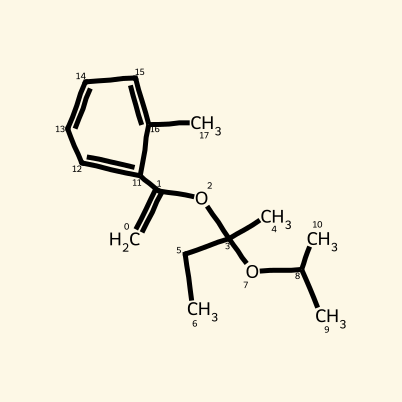 C=C(OC(C)(CC)OC(C)C)c1ccccc1C